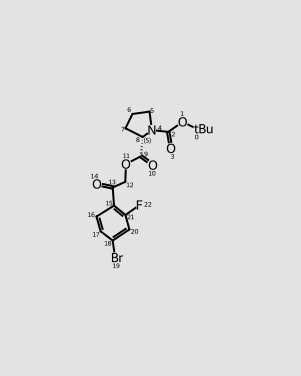 CC(C)(C)OC(=O)N1CCC[C@H]1C(=O)OCC(=O)c1ccc(Br)cc1F